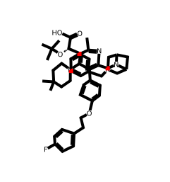 Cc1nc(CN2C3CC2CN(Cc2ccccc2)C3)c(-c2ccc(OCCc3ccc(F)cc3)cc2)c(N2CCC(C)(C)CC2)c1[C@H](OC(C)(C)C)C(=O)O